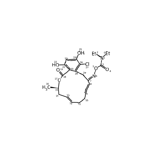 CCN(CC)C(=O)O/N=C1/C=C/CC/C=C/C[C@@H](C)OC(=O)c2c(O)cc(O)c(Cl)c2C1